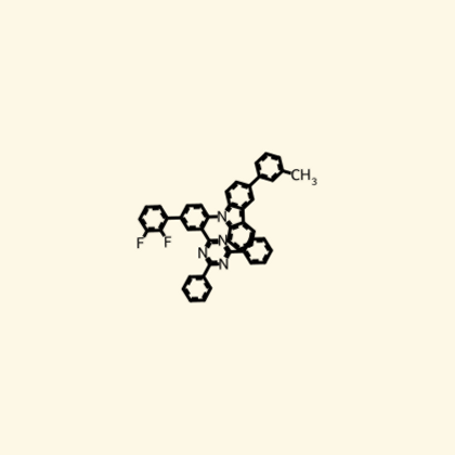 Cc1cccc(-c2ccc3c(c2)c2ccccc2n3-c2ccc(-c3cccc(F)c3F)cc2-c2nc(-c3ccccc3)nc(-c3ccccc3)n2)c1